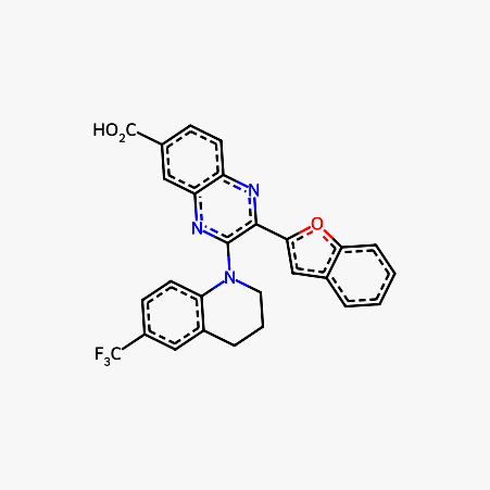 O=C(O)c1ccc2nc(-c3cc4ccccc4o3)c(N3CCCc4cc(C(F)(F)F)ccc43)nc2c1